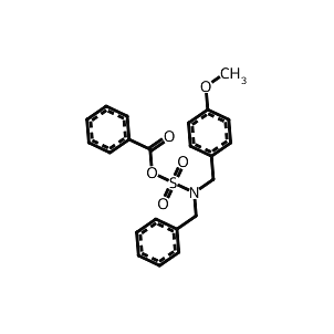 COc1ccc(CN(Cc2ccccc2)S(=O)(=O)OC(=O)c2ccccc2)cc1